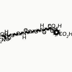 C[C@@H](O)[C@H](NC(=O)COCCOCCNC(=O)COCCOCCNC(=O)CC[C@H](NOc1ccc(C(=O)O)cc1)C(=O)O)C(N)=O